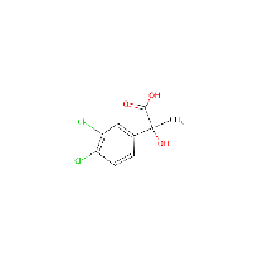 CC(O)(C(=O)O)c1ccc(Cl)c(Cl)c1